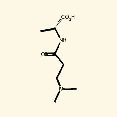 C[C@@H](NC(=O)CCN(C)C)C(=O)O